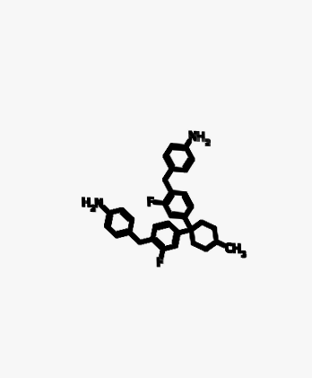 CC1CCC(c2ccc(Cc3ccc(N)cc3)c(F)c2)(c2ccc(Cc3ccc(N)cc3)c(F)c2)CC1